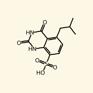 CC(C)Cc1ccc(S(=O)(=O)O)c2[nH]c(=O)[nH]c(=O)c12